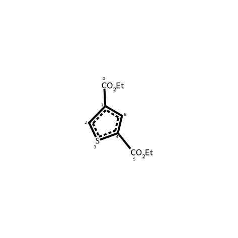 CCOC(=O)c1csc(C(=O)OCC)c1